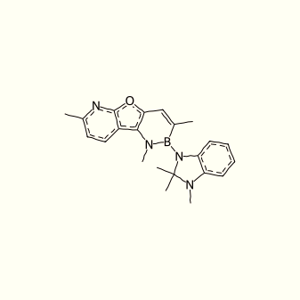 CC1=Cc2oc3nc(C)ccc3c2N(C)B1N1c2ccccc2N(C)C1(C)C